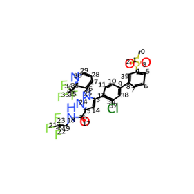 CS(=O)(=O)c1cccc(-c2ccc(-c3cc(C(=O)NCC(F)(F)F)nn3-c3cccnc3C(F)(F)F)c(Cl)c2)c1